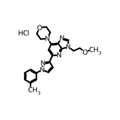 COCCn1cnc2c(N3CCOCC3)cc(-c3ccn(-c4cccc(C)c4)n3)nc21.Cl